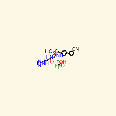 N#Cc1cccc(-c2ccc(C(CC(=O)O)NC(=O)CNC(=O)CCCNC3=NCCN3)cc2)c1.O=C(O)C(F)(F)F